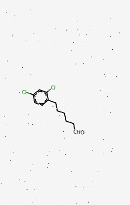 O=[C]CCCCCc1ccc(Cl)cc1Cl